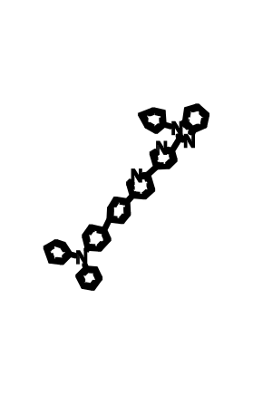 c1ccc(N(c2ccccc2)c2ccc(-c3ccc(-c4ccc(-c5ccc(-c6nc7ccccc7n6-c6ccccc6)nc5)nc4)cc3)cc2)cc1